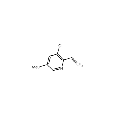 C=Cc1ncc(OC)cc1Cl